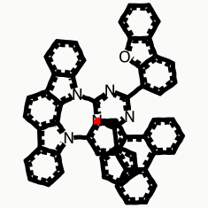 c1ccc(-c2nc(-c3cccc4c3oc3ccccc34)nc(-n3c4ccccc4c4ccc5c6ccccc6n(-c6ccc7c8ccccc8c8ccccc8c7c6)c5c43)n2)cc1